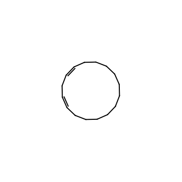 C1=CCCCCCCCCCCCC=CC1